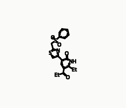 CCC(=O)c1cc(-c2csc(CS(=O)(=O)c3ccccc3)n2)c(=O)[nH]c1CC